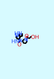 O=C(CCO)N1CCC[C@@H](n2c(=O)[nH]c3cnc4[nH]ccc4c32)C1